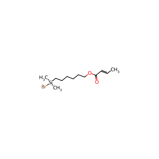 CC=CC(=O)OCCCCCC[Si](C)(C)Br